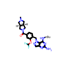 CCCCNc1nc(N)nc2cnn(Cc3ccc(C(=O)N4C[C@H]5CN(C)C[C@H]5C4)cc3OC(F)F)c12